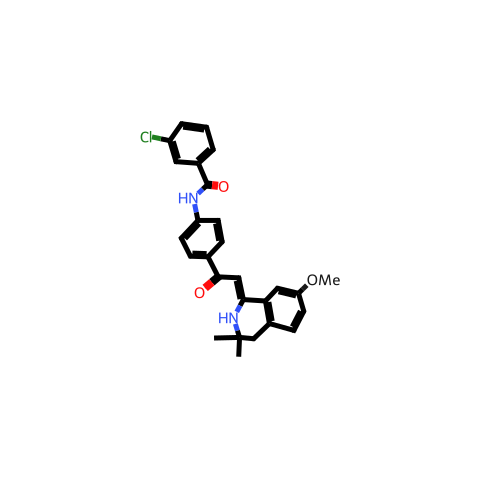 COc1ccc2c(c1)C(=CC(=O)c1ccc(NC(=O)c3cccc(Cl)c3)cc1)NC(C)(C)C2